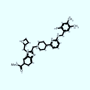 COC(=O)C1C=c2c(nc(CN3CCC(c4cccc(OCc5cc(C)c(C)cc5F)n4)CC3)n2CC2CCO2)=CC1